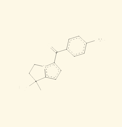 CSc1ccc(C(=O)c2ccc3n2CCC3(C)C(=O)O)cc1